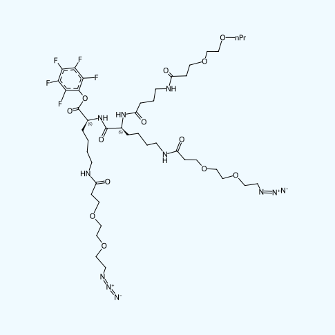 CCCOCCOCCC(=O)NCCCC(=O)N[C@@H](CCCCNC(=O)CCOCCOCCN=[N+]=[N-])C(=O)N[C@@H](CCCCNC(=O)CCOCCOCCN=[N+]=[N-])C(=O)Oc1c(F)c(F)c(F)c(F)c1F